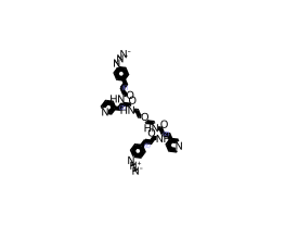 [N-]=[N+]=Nc1ccc(/C=C/C(=O)N/C(=C\c2cccnc2)C(=O)NCCOCCNC(=O)/C(=C/c2cccnc2)NC(=O)/C=C/c2ccc(N=[N+]=[N-])cc2)cc1